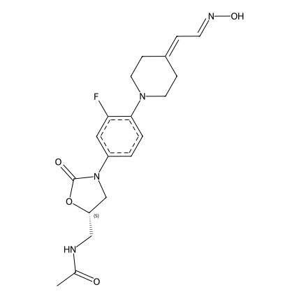 CC(=O)NC[C@H]1CN(c2ccc(N3CCC(=CC=NO)CC3)c(F)c2)C(=O)O1